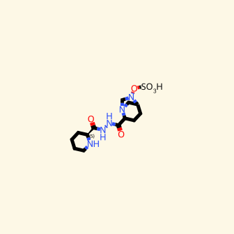 O=C(NNC(=O)[C@@H]1CCCCN1)C1CCC2CN1CN2OS(=O)(=O)O